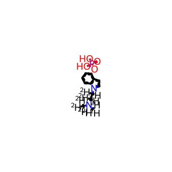 [2H]C([2H])([2H])N(C([2H])([2H])[2H])C([2H])([2H])C([2H])([2H])n1ccc2c(OP(=O)(O)O)cccc21